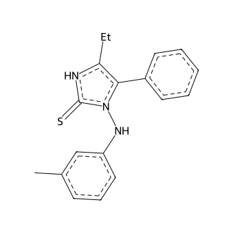 CCc1[nH]c(=S)n(Nc2cccc(C)c2)c1-c1ccccc1